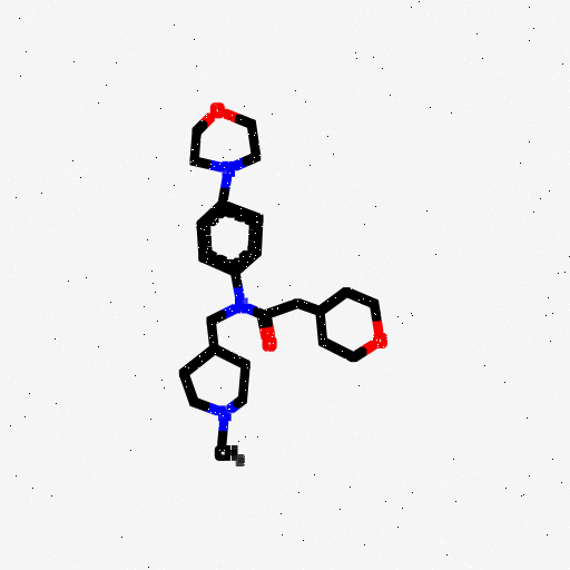 CN1CCC(CN(C(=O)CC2CCOCC2)c2ccc(N3CCOCC3)cc2)CC1